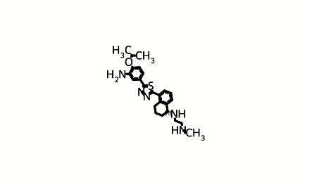 CNCCN[C@@H]1CCCc2c(-c3nnc(-c4ccc(OC(C)C)c(N)c4)s3)cccc21